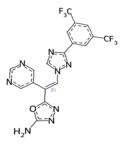 Nc1nnc(/C(=C/n2cnc(-c3cc(C(F)(F)F)cc(C(F)(F)F)c3)n2)c2cncnc2)o1